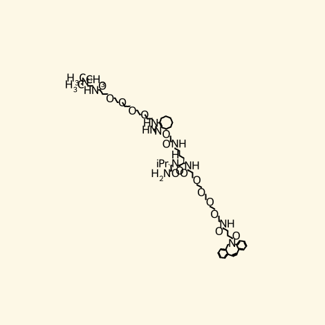 CC(C)[C@H](NC(=O)[C@@H](CCCCNC(=O)COC1CCCCC/C(NCCOCCOCCOCCOCCC(=O)NCC[N+](C)(C)C)=C\1N=N)NC(=O)CCOCCOCCOCCOCCNC(=O)CCC(=O)N1Cc2ccccc2C#Cc2ccccc21)C(N)=O